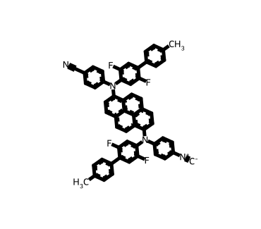 [C-]#[N+]c1ccc(N(c2cc(F)c(-c3ccc(C)cc3)cc2F)c2ccc3ccc4c(N(c5ccc(C#N)cc5)c5cc(F)c(-c6ccc(C)cc6)cc5F)ccc5ccc2c3c54)cc1